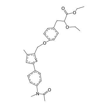 CCOC(=O)C(Cc1ccc(OCc2sc(-c3ccc(N(C)C(C)=O)cc3)cc2C)cc1)OCC